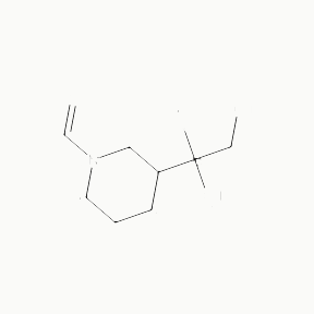 CCC(C)(C)C1CCCN(C=O)C1